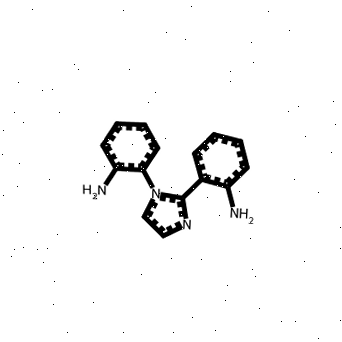 Nc1ccccc1-c1nccn1-c1ccccc1N